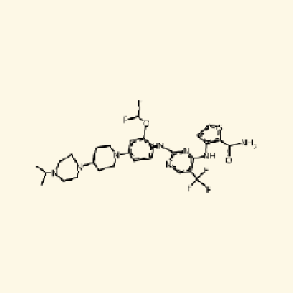 CC(C)N1CCN(C2CCN(c3ccc(Nc4ncc(C(F)(F)F)c(Nc5ccsc5C(N)=O)n4)c(OC(F)F)c3)CC2)CC1